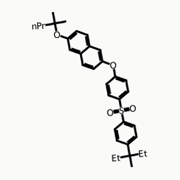 CCCC(C)(C)Oc1ccc2cc(Oc3ccc(S(=O)(=O)c4ccc(C(C)(CC)CC)cc4)cc3)ccc2c1